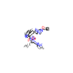 Cc1cc(C)c(CNC(=O)c2cc(-c3ccc(N4CCN(C(=O)CC56CC7CC(CC(C7)C5)C6)CC4)nc3)cc3c2cnn3C(C)C)c(=O)[nH]1